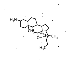 CCCC(C)C1CCC2C3CCC4CC(N)CCC4(C)C3CC(O)[C@]12C